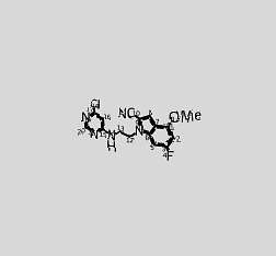 COc1cc(F)cc2c1cc(C#N)n2CCNc1cc(Cl)ncn1